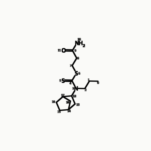 CCCN(C(=S)SCCC(N)=O)C1CC2CCC1C2